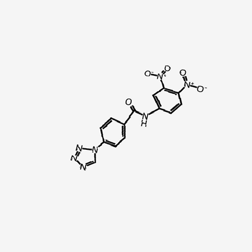 O=C(Nc1ccc([N+](=O)[O-])c([N+](=O)[O-])c1)c1ccc(-n2cnnn2)cc1